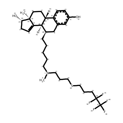 CN(CCCCC[C@@H]1Cc2cc(O)ccc2[C@H]2CC[C@@]3(C)C(=CC[C@@H]3O)[C@H]12)CCCSCCCC(F)(F)C(F)(F)F